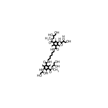 CN(CC(O)CO)C(=O)c1c(I)c(NC(=O)C(O)CO)c(I)c(C(=O)NCCCCCCNC(=O)c2c(I)c(NC(O)CO)c(I)c(C(=O)N(C)CC(O)CO)c2I)c1I